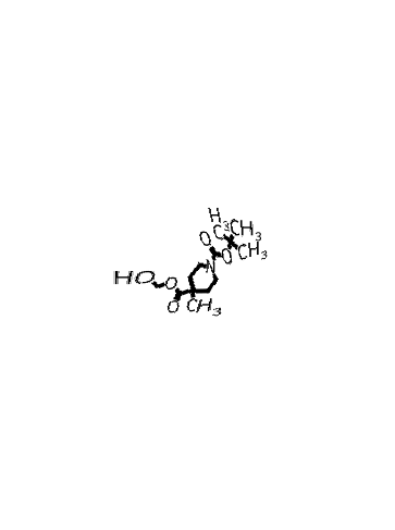 CC(C)(C)OC(=O)N1CCC(C)(C(=O)OCO)CC1